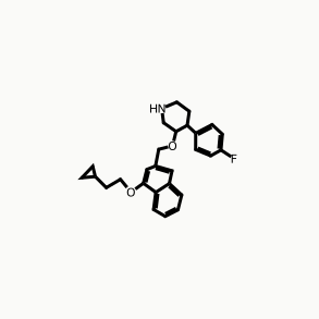 Fc1ccc(C2CCNCC2OCc2cc(OCCC3CC3)c3ccccc3c2)cc1